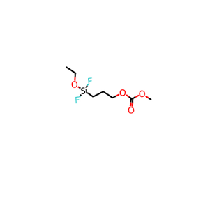 CCO[Si](F)(F)CCCOC(=O)OC